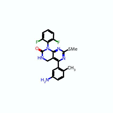 CSc1nc(-c2cc(N)ccc2C)c2c(n1)N(c1c(F)cccc1F)C(=O)NC2